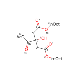 CCCCCCCCOC(=O)CC(O)(CC(=O)OCCCCCCCC)C(=O)OC(C)=O